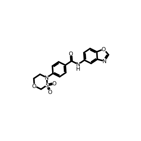 O=C(Nc1ccc2ocnc2c1)c1ccc(N2CCOCS2(=O)=O)cc1